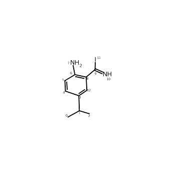 CC(C)c1ccc(N)c(C(=N)I)c1